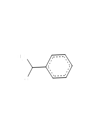 [CH2]C([O])c1ccccc1